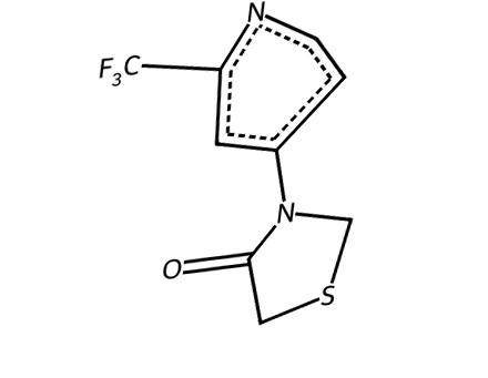 O=C1CSCN1c1ccnc(C(F)(F)F)c1